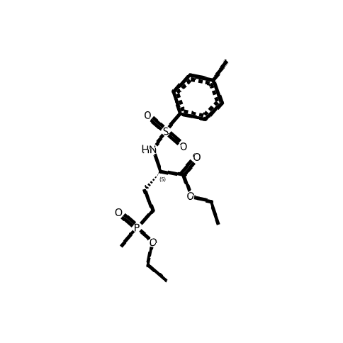 CCOC(=O)[C@H](CCP(C)(=O)OCC)NS(=O)(=O)c1ccc(C)cc1